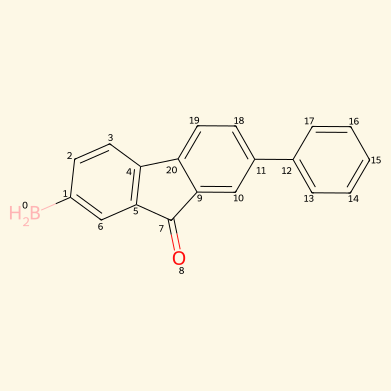 Bc1ccc2c(c1)C(=O)c1cc(-c3ccccc3)ccc1-2